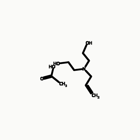 C=CCN(CCO)CCO.CC(=O)O